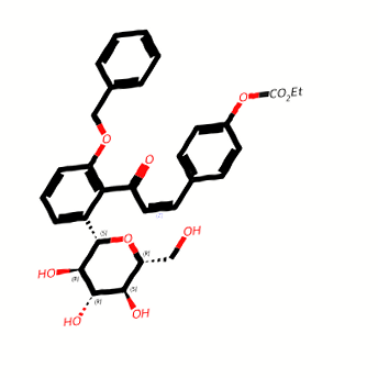 CCOC(=O)Oc1ccc(/C=C\C(=O)c2c(OCc3ccccc3)cccc2[C@@H]2O[C@H](CO)[C@@H](O)[C@H](O)[C@H]2O)cc1